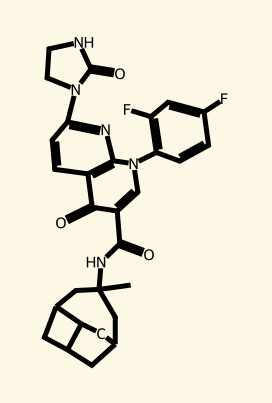 CC1(NC(=O)c2cn(-c3ccc(F)cc3F)c3nc(N4CCNC4=O)ccc3c2=O)CC2CC3CC(C1)C3C2